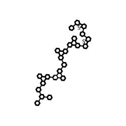 C1=CC2c3ccccc3-c3cc(-c4cccc(-c5ccc6c7ccccc7c7cc(-c8ccc9c%10ccccc%10c%10cc(-c%11cccc%12c%11sc%11c(-c%13cccc(-c%14cccc%15c%14sc%14c(-c%16ccccc%16)cccc%14%15)c%13)cccc%11%12)ccc%10c9c8)ccc7c6c5)c4)ccc3C2C=C1c1ccc2c3ccccc3c3cc(-c4cccc(-c5cc(-c6ccccc6)cc(-c6ccccc6)c5)c4)ccc3c2c1